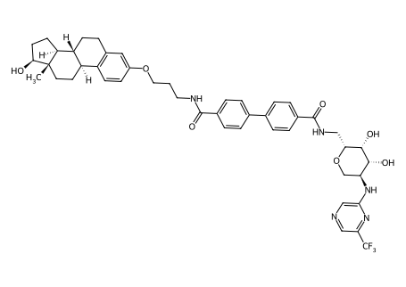 C[C@]12CC[C@@H]3c4ccc(OCCCNC(=O)c5ccc(-c6ccc(C(=O)NC[C@H]7OC[C@H](Nc8cncc(C(F)(F)F)n8)[C@@H](O)[C@H]7O)cc6)cc5)cc4CC[C@H]3[C@@H]1CC[C@@H]2O